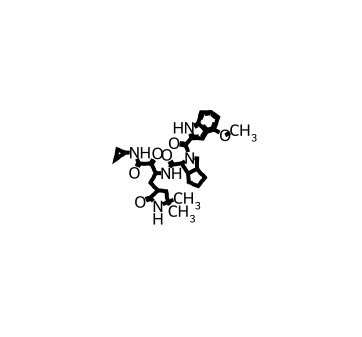 COc1cccc2[nH]c(C(=O)N3CC4CCCC4C3C(=O)NC(CC3CC(C)(C)NC3=O)C(=O)C(=O)NC3CC3)cc12